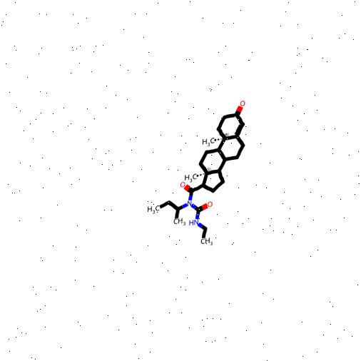 CCNC(=O)N(C(=O)C1CCC2C3CCC4=CC(=O)CC[C@]4(C)C3CC[C@]12C)C(C)CC